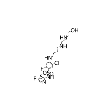 O=S(=O)(Nc1ncc(F)s1)c1cc(Cl)c(NCCCCNCCNCCO)cc1F